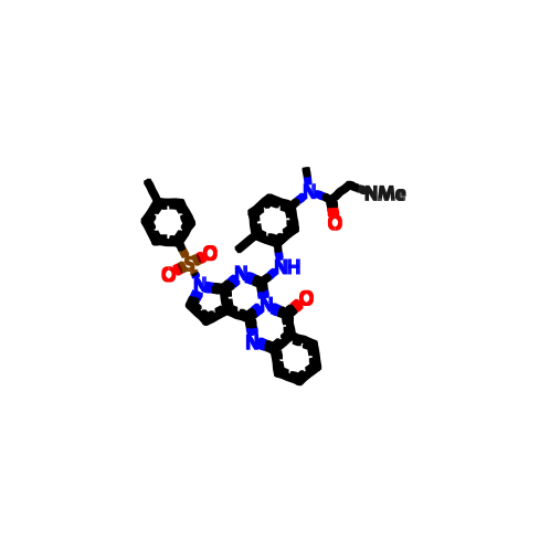 CNCC(=O)N(C)c1ccc(C)c(Nc2nc3c(ccn3S(=O)(=O)c3ccc(C)cc3)c3nc4ccccc4c(=O)n23)c1